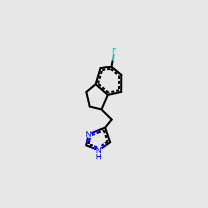 Fc1ccc2c(c1)CCC2Cc1c[nH]cn1